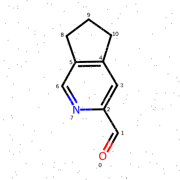 O=Cc1cc2c(cn1)CCC2